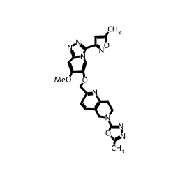 COc1cc2nnc(-c3cc(C)on3)n2cc1OCc1ccc2c(n1)CCN(c1nnc(C)o1)C2